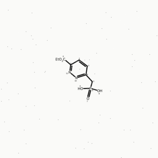 CCOC(=O)c1ccc(CP(=O)(O)O)nn1